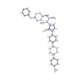 CC(NN1CCN(Cc2ccccc2)CC1)C(C)n1ncn(-c2ccc(N3CCN(c4ccc(O)cc4)CC3)cc2)c1=O